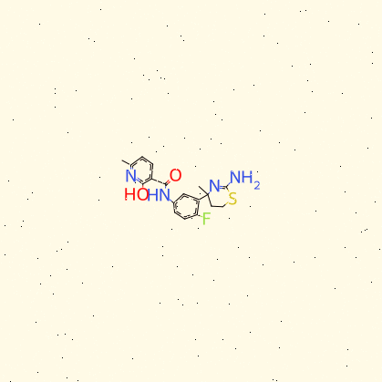 Cc1ccc(C(=O)Nc2ccc(F)c(C3(C)CCSC(N)=N3)c2)c(O)n1